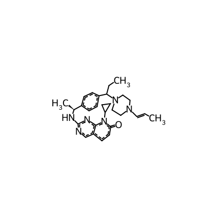 CC=CN1CCN(C(CC)c2ccc([C@H](C)Nc3ncc4ccc(=O)n(C5CC5)c4n3)cc2)CC1